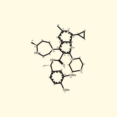 COc1ccc([C@H](C)NC(=O)c2c(N3CCOCC3)nc3c(C4CC4)nc(C)cc3c2N2CCN[C@@H](C)CC2)cc1OC